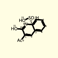 CC(=O)c1cc2ccccc2nc1O.O=S(=O)(O)O